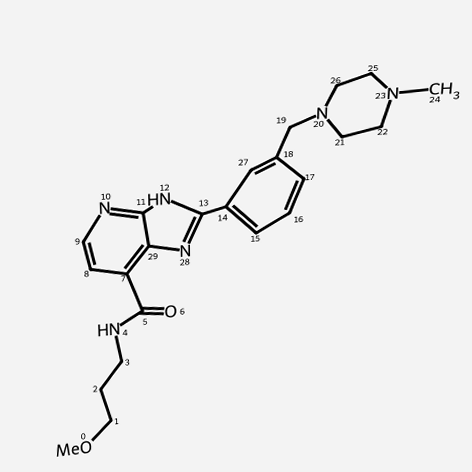 COCCCNC(=O)c1ccnc2[nH]c(-c3cccc(CN4CCN(C)CC4)c3)nc12